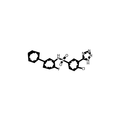 O=S(=O)(Nc1cc(-c2cc#ccc2)ccc1F)c1ccc(Cl)c(-c2nnn[nH]2)c1